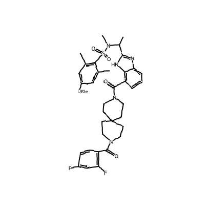 COc1cc(C)c(S(=O)(=O)N(C)C(C)c2nc3cccc(C(=O)N4CCC5(CCN(C(=O)c6ccc(F)cc6F)CC5)CC4)c3[nH]2)c(C)c1